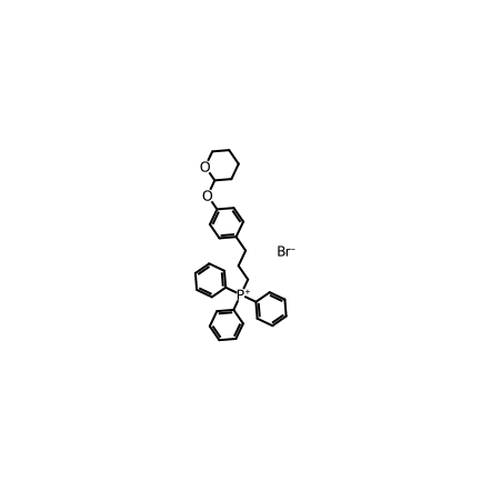 [Br-].c1ccc([P+](CCCc2ccc(OC3CCCCO3)cc2)(c2ccccc2)c2ccccc2)cc1